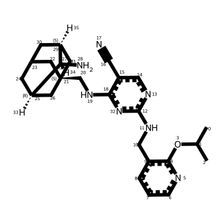 CC(C)Oc1ncccc1CNc1ncc(C#N)c(NC[C@]23CC4C[C@H](C2)[C@@H](N)[C@@H](C4)C3)n1